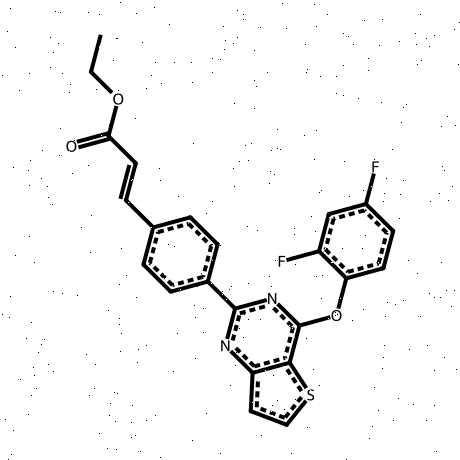 CCOC(=O)C=Cc1ccc(-c2nc(Oc3ccc(F)cc3F)c3sccc3n2)cc1